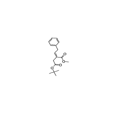 COC(=O)C(=CCc1ccccc1)CC(=O)OC(C)(C)C